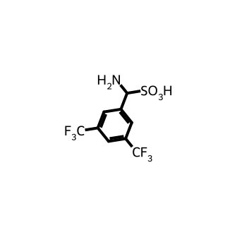 NC(c1cc(C(F)(F)F)cc(C(F)(F)F)c1)S(=O)(=O)O